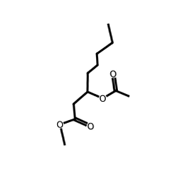 CCCCCC(CC(=O)OC)OC(C)=O